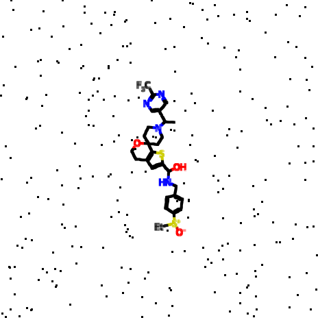 CC[S+]([O-])c1ccc(CNC(O)c2cc3c(s2)C2(CCN(C(C)c4cnc(C(F)(F)F)nc4)CC2)OCC3)cc1